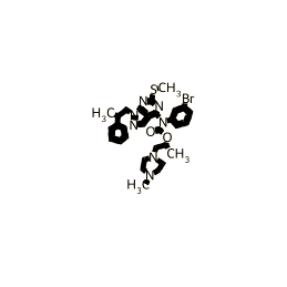 CSc1nc(N(C(=O)OC(C)CN2CCN(C)CC2)c2cccc(Br)c2)c2cnn(CC(C)c3ccccc3)c2n1